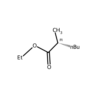 CCCC[C@@H](C)C(=O)OCC